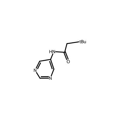 CC(C)(C)CC(=O)Nc1cncnc1